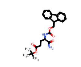 CC(C)(C)OC(=O)CCC(NC(=O)OCC1c2ccccc2-c2ccccc21)C(N)=O